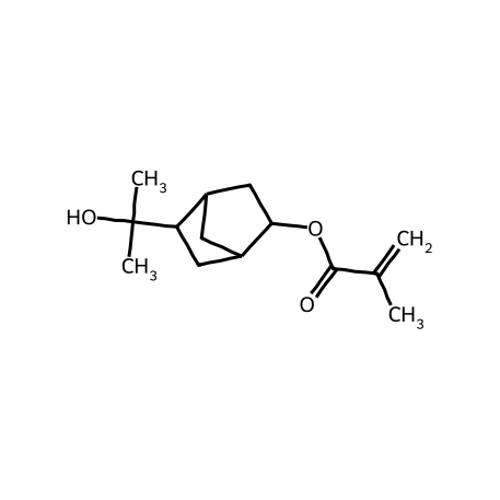 C=C(C)C(=O)OC1CC2CC1CC2C(C)(C)O